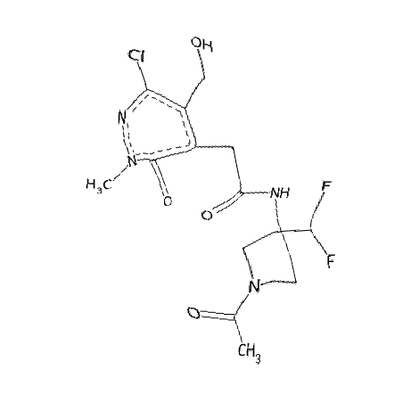 CC(=O)N1CC(NC(=O)Cc2c(CO)c(Cl)nn(C)c2=O)(C(F)F)C1